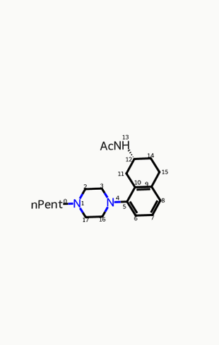 CCCCCN1CCN(c2cccc3c2C[C@H](NC(C)=O)CC3)CC1